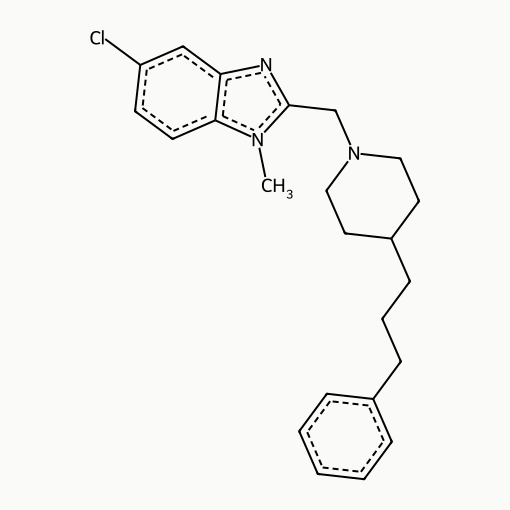 Cn1c(CN2CCC(CCCc3ccccc3)CC2)nc2cc(Cl)ccc21